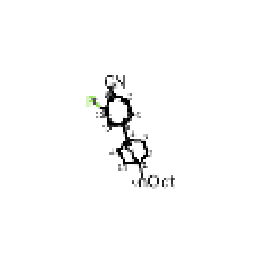 CCCCCCCCC12CCC(c3ccc(C#N)c(F)c3)(CC1)CC2